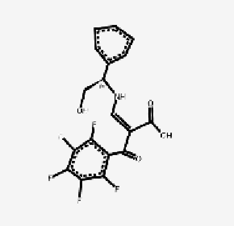 O=C(O)C(=CN[C@@H](CO)c1ccccc1)C(=O)c1c(F)c(F)c(F)c(F)c1F